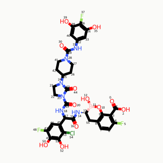 O=C(O)c1c(F)ccc2c1OB(O)[C@@H](NC(=O)C(NC(=O)N1CCN(C3CCN(C(=O)Nc4cc(O)c(F)c(O)c4)CC3)C1=O)c1cc(F)c(O)c(O)c1Cl)C2